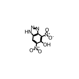 O=[N+]([O-])c1cc2[nH]nnc2c([N+](=O)[O-])c1O